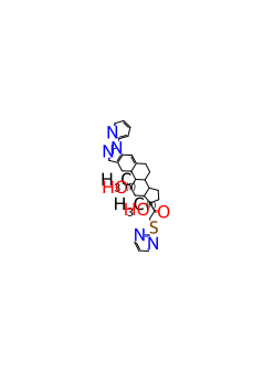 CC12Cc3cnn(-c4ccccn4)c3C=C1CCC1C2[C@@H](O)CC2(C)C1CC[C@]2(O)C(=O)CSc1ncccn1